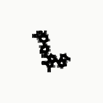 Cn1ccc2c(-c3ncc(Nc4ccc(N5CC[C@](O)(F)[C@@H](O)C5)cn4)c4c3CNC4=O)ccnc21